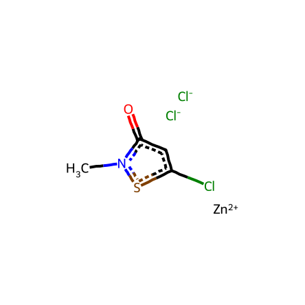 Cn1sc(Cl)cc1=O.[Cl-].[Cl-].[Zn+2]